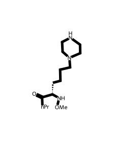 CCCC(=O)[C@H](CCCCN1CCNCC1)NOC